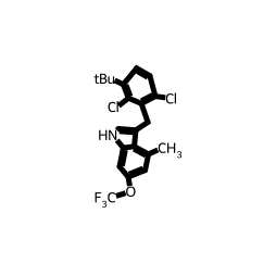 Cc1cc(OC(F)(F)F)cc2[nH]cc(Cc3c(Cl)ccc(C(C)(C)C)c3Cl)c12